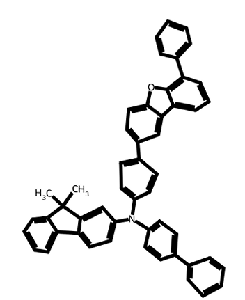 CC1(C)c2ccccc2-c2ccc(N(c3ccc(-c4ccccc4)cc3)c3ccc(-c4ccc5oc6c(-c7ccccc7)cccc6c5c4)cc3)cc21